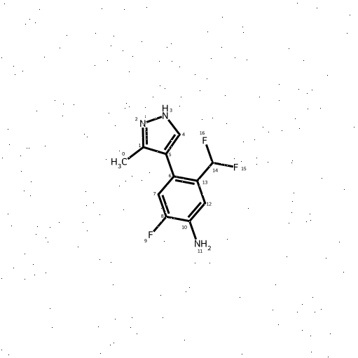 Cc1n[nH]cc1-c1cc(F)c(N)cc1C(F)F